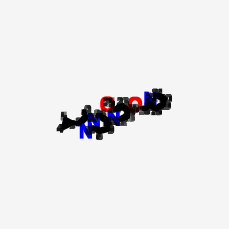 Cc1c(C2CC2)nc2ccc(-n3ccc(OCc4ccccn4)cc3=O)cn12